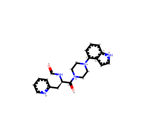 O=CN[C@H](Cc1ccccn1)C(=O)N1CCN(c2cccc3[nH]ccc23)CC1